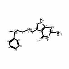 C[C@@H](CCNCc1c[nH]c2nc(N)[nH]c(=O)c12)c1ccccc1